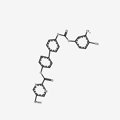 CCCCCc1cnc(C(=O)Oc2ccc(-c3ccc(OC(=O)Oc4ccc(C#N)c(C(F)(F)F)c4)cc3)cc2)nc1